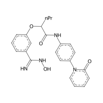 CCCC(Oc1cccc(C(=N)NO)c1)C(=O)Nc1ccc(-n2ccccc2=O)cc1